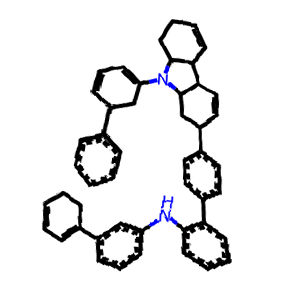 C1=CCCC(c2cccc(Nc3ccccc3-c3ccc(C4C=CC5C6C=CCCC6N(C6=CC=CC(c7ccccc7)C6)C5C4)cc3)c2)=C1